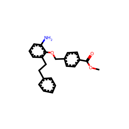 COC(=O)c1ccc(COc2c(N)cccc2CCc2ccccc2)cc1